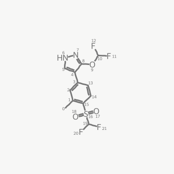 Cc1cc(-c2c[nH]nc2OC(F)F)ccc1S(=O)(=O)C(F)F